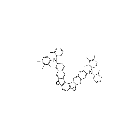 Cc1ccccc1N(c1ccc2cc3c(cc2c1)oc1ccc2oc4cc5cc(N(c6ccccc6C)c6ccc(C)c(C)c6C)ccc5cc4c2c13)c1ccc(C)c(C)c1C